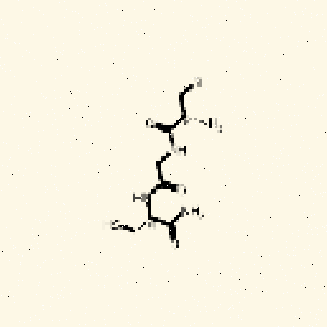 NC(=O)[C@H](CS)NC(=O)CNC(=O)[C@@H](N)CS